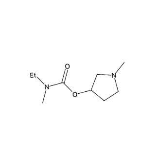 [CH2]CN(C)C(=O)OC1CCN(C)C1